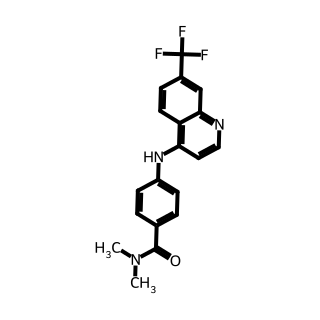 CN(C)C(=O)c1ccc(Nc2ccnc3cc(C(F)(F)F)ccc23)cc1